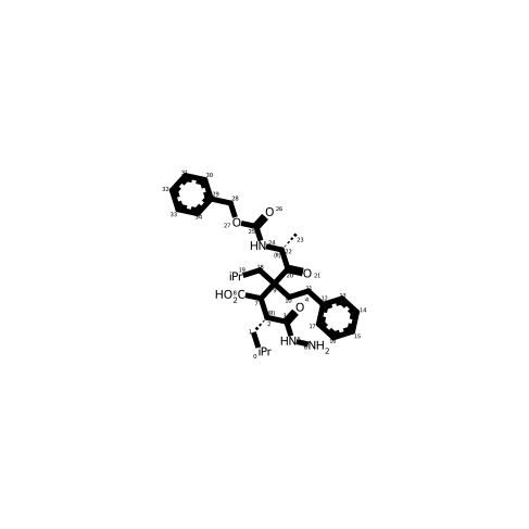 CC(C)C[C@@H](C(=O)NN)C(C(=O)O)C(CCc1ccccc1)(CC(C)C)C(=O)[C@@H](C)NC(=O)OCc1ccccc1